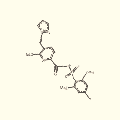 COc1cc(C)cc(OC)c1S(=O)(=O)NC(=O)c1ccc(Cn2cccn2)c(OC)n1